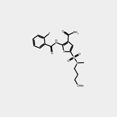 COCCCN(C)S(=O)(=O)c1cc(C(N)=O)c(NC(=O)c2ccccc2F)s1